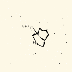 O=C(O)C12CCCC1CNC2